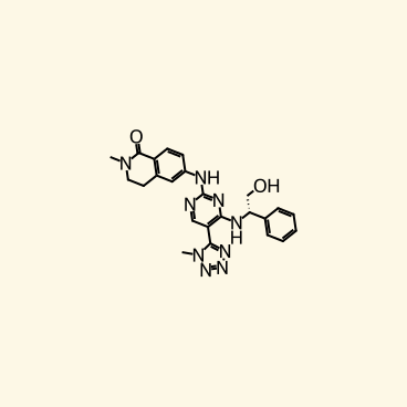 CN1CCc2cc(Nc3ncc(-c4nnnn4C)c(N[C@H](CO)c4ccccc4)n3)ccc2C1=O